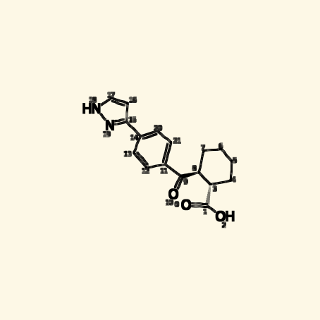 O=C(O)[C@H]1CCCC[C@@H]1C(=O)c1ccc(-c2cc[nH]n2)cc1